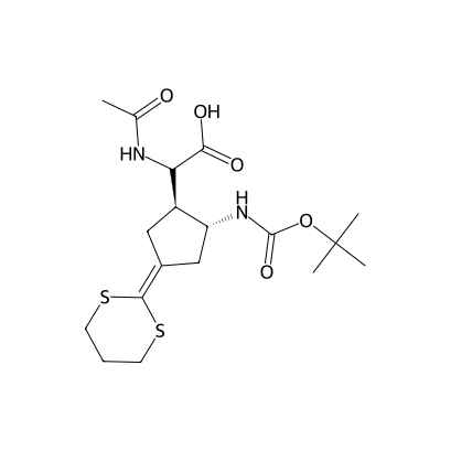 CC(=O)NC(C(=O)O)[C@@H]1CC(=C2SCCCS2)C[C@H]1NC(=O)OC(C)(C)C